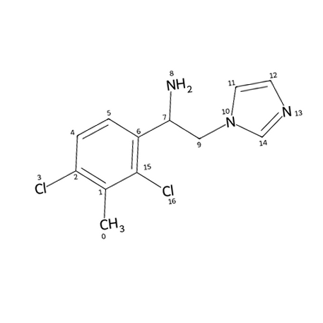 Cc1c(Cl)ccc(C(N)Cn2ccnc2)c1Cl